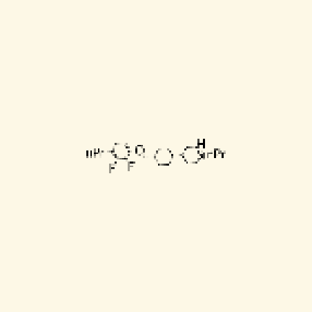 CCCc1ccc(OC[C@H]2CC[C@H](C3CC[SiH](CCC)CC3)CC2)c(F)c1F